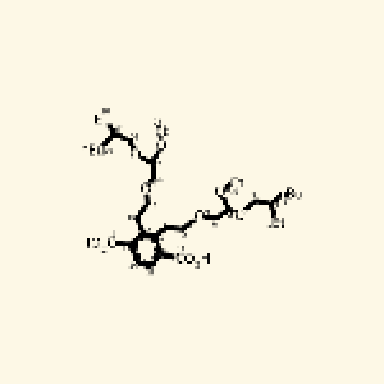 CCCCC(CC)COC(COCCc1c(C(=O)O)ccc(C(=O)O)c1CCOCC(OCC)OCC(CC)CCCC)OCC